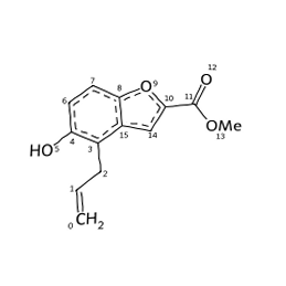 C=CCc1c(O)ccc2oc(C(=O)OC)cc12